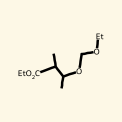 CCOCOC(C)C(C)C(=O)OCC